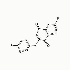 O=C1C=C(Cc2ccc(F)cn2)C(=O)c2ccc(F)cc21